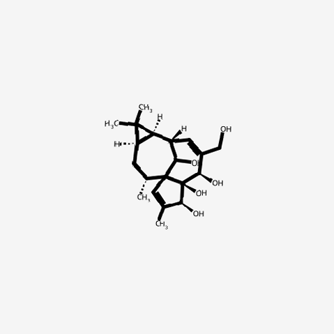 CC1=CC23C(O)[C@@H](C=C(CO)[C@@H](O)[C@]2(O)[C@H]1O)[C@H]1[C@@H](C[C@H]3C)C1(C)C